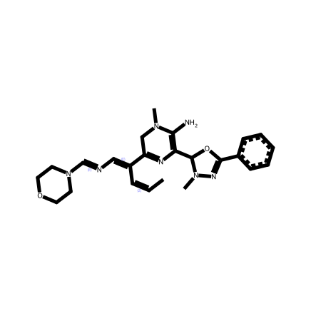 C\C=C/C(=C\N=C\N1CCOCC1)C1=NC(C2OC(c3ccccc3)=NN2C)=C(N)N(C)C1